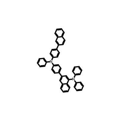 c1ccc(N(c2ccc(-c3ccc4ccccc4c3)cc2)c2ccc(-c3cc(N(c4ccccc4)c4ccccc4)c4ccccc4c3)cc2)cc1